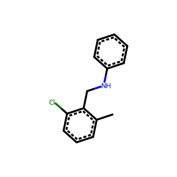 Cc1cccc(Cl)c1CNc1ccccc1